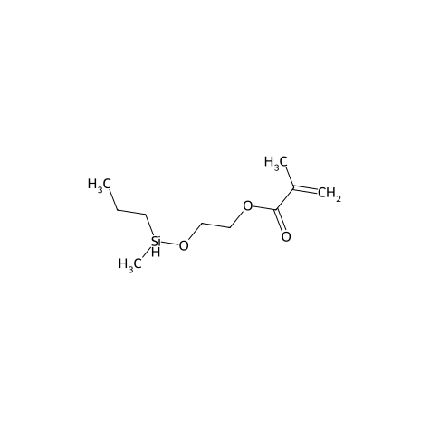 C=C(C)C(=O)OCCO[SiH](C)CCC